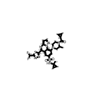 CC1CN(c2cc(S(=O)(=O)NC3(C)CC3)cc3c(-c4nnc(C(F)F)s4)nc4ccnn4c23)CCN1C(=O)C1CC1